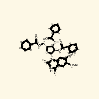 COc1cc2c(=O)[nH]c(=O)n([C@@H]3O[C@H](COC(=O)c4ccccc4)[C@@H](OC(=O)c4ccccc4)[C@H]3OC(=O)c3ccccc3)c2cc1OC